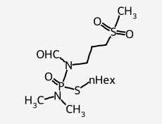 CCCCCCSP(=O)(N(C)C)N(C=O)CCCS(C)(=O)=O